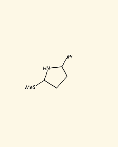 CSC1CCC(C(C)C)N1